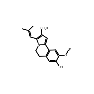 CC(C)=Cc1c(C(=O)O)cc2n1CCc1cc(O)c(OC(C)C)cc1-2